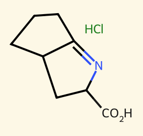 Cl.O=C(O)C1CC2CCCC2=N1